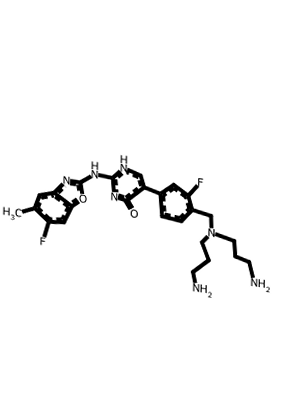 Cc1cc2nc(Nc3nc(=O)c(-c4ccc(CN(CCCN)CCCN)c(F)c4)c[nH]3)oc2cc1F